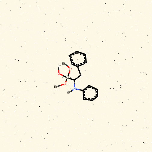 CCO[Si](OCC)(OCC)C(Cc1ccccc1)N(CC)c1ccccc1